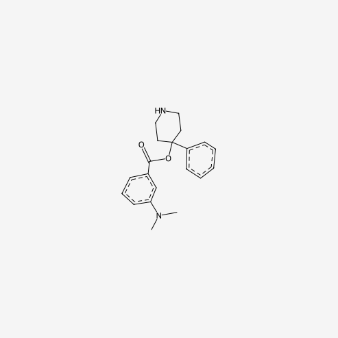 CN(C)c1cccc(C(=O)OC2(c3ccccc3)CCNCC2)c1